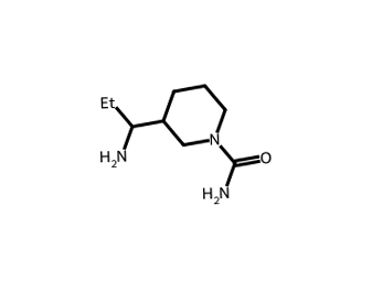 CCC(N)C1CCCN(C(N)=O)C1